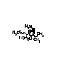 CC[C@H](C)[C@H](NC(=O)CN)C(=O)N[C@@H](CCSC)C(=O)O